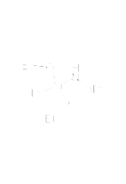 CCO[Si](NC(C)C)(OCC)C(C)C